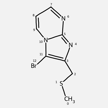 CSCc1nc2ncccn2c1Br